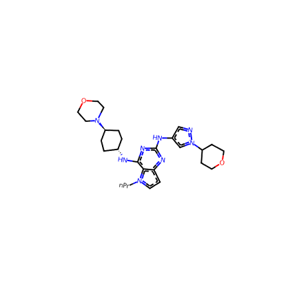 CCCn1ccc2nc(Nc3cnn(C4CCOCC4)c3)nc(N[C@H]3CC[C@H](N4CCOCC4)CC3)c21